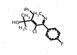 C/N=C(\C(Cl)=C(/CC(C)C)C(C)(C)O)c1ccc(F)cc1